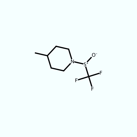 CC1CCN([S+]([O-])C(F)(F)F)CC1